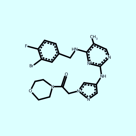 Cc1cnc(Nc2cnn(CC(=O)N3CCOCC3)c2)nc1NCc1ccc(F)c(Br)c1